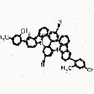 Cc1ccc(-c2ccc3c(c2)c2ccccc2n3-c2cc(C#N)cc(-n3c4ccccc4c4cc(-c5ccc(C)cc5C)ccc43)c2-c2ccc(C#N)cc2F)c(C)c1